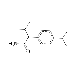 CC(C)c1ccc(C(C(N)=O)C(C)C)cc1